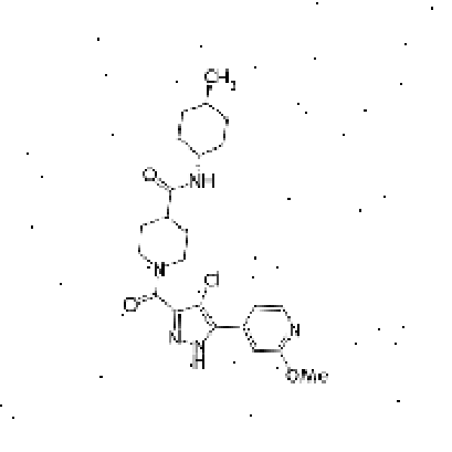 COc1cc(-c2[nH]nc(C(=O)N3CCC(C(=O)N[C@H]4CC[C@H](C)CC4)CC3)c2Cl)ccn1